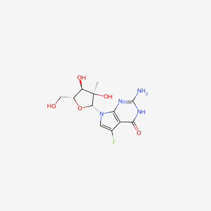 C[C@@]1(O)[C@H](O)[C@@H](CO)O[C@H]1n1cc(F)c2c(=O)[nH]c(N)nc21